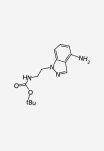 CC(C)(C)OC(=O)NCCn1ncc2c(N)cccc21